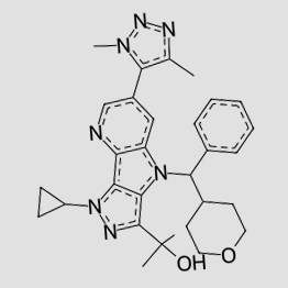 Cc1nnn(C)c1-c1cnc2c3c(c(C(C)(C)O)nn3C3CC3)n(C(c3ccccc3)C3CCOCC3)c2c1